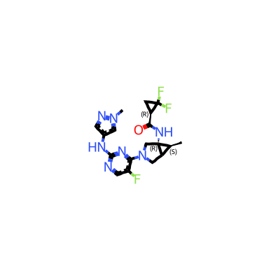 C[C@H]1C2CN(c3nc(Nc4cnn(C)c4)ncc3F)C[C@]21NC(=O)[C@H]1CC1(F)F